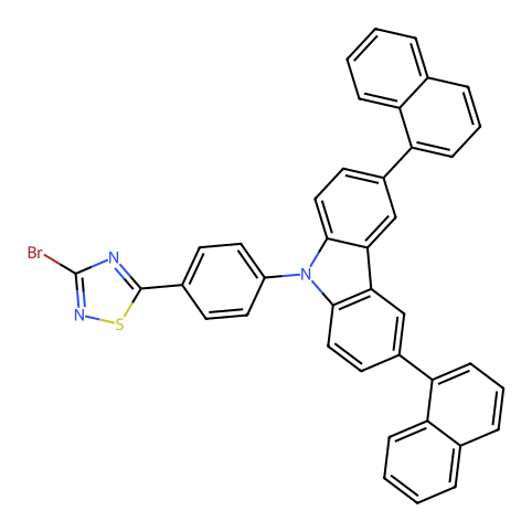 Brc1nsc(-c2ccc(-n3c4ccc(-c5cccc6ccccc56)cc4c4cc(-c5cccc6ccccc56)ccc43)cc2)n1